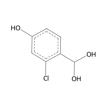 Oc1ccc(C(O)O)c(Cl)c1